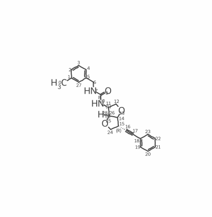 Cc1cccc(CNC(=O)N[C@H]2COC3[C@H](C#Cc4ccccc4)CO[C@@H]32)c1